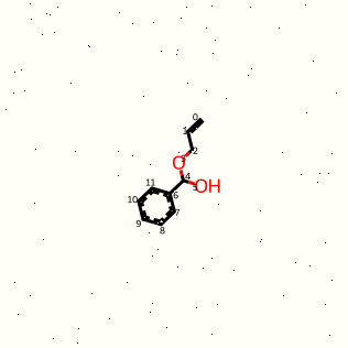 C=CCOC(O)c1ccccc1